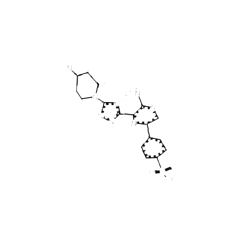 CC(C)S(=O)(=O)c1ccc(-c2cnc(N)c(-c3nnc(N4CCC(N)CC4)o3)n2)cc1